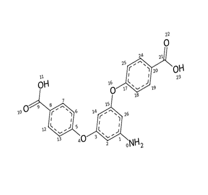 Nc1cc(Oc2ccc(C(=O)O)cc2)cc(Oc2ccc(C(=O)O)cc2)c1